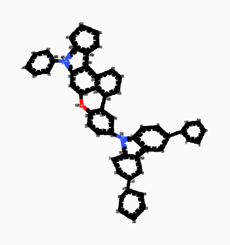 c1ccc(-c2ccc3c(c2)c2cc(-c4ccccc4)ccc2n3-c2ccc3c(c2)-c2cccc4c2c(cc2c4c4ccccc4n2-c2ccccc2)O3)cc1